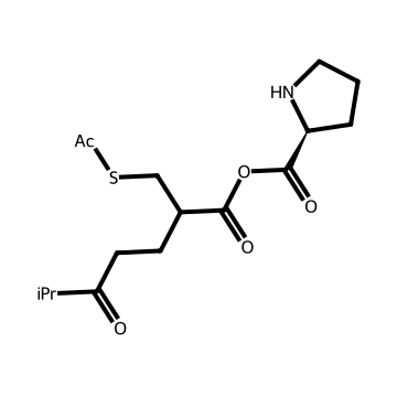 CC(=O)SCC(CCC(=O)C(C)C)C(=O)OC(=O)[C@@H]1CCCN1